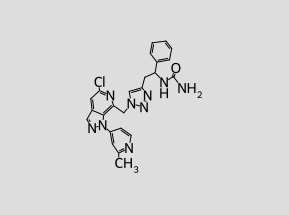 Cc1cc(-n2ncc3cc(Cl)nc(Cn4cc(CC(NC(N)=O)c5ccccc5)nn4)c32)ccn1